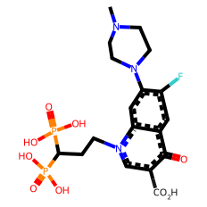 CN1CCN(c2cc3c(cc2F)c(=O)c(C(=O)O)cn3CCC(P(=O)(O)O)P(=O)(O)O)CC1